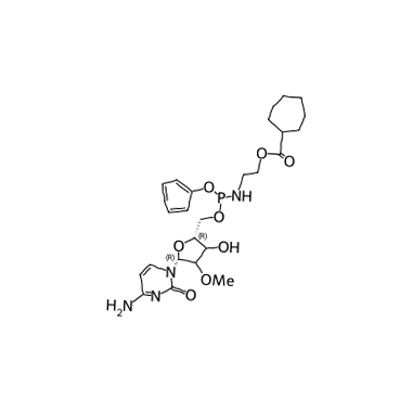 COC1C(O)[C@@H](COP(NCCOC(=O)C2CCCCCC2)Oc2ccccc2)O[C@H]1n1ccc(N)nc1=O